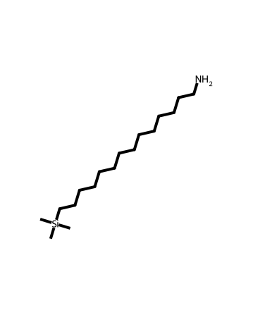 C[Si](C)(C)CCCCCCCCCCCCCCN